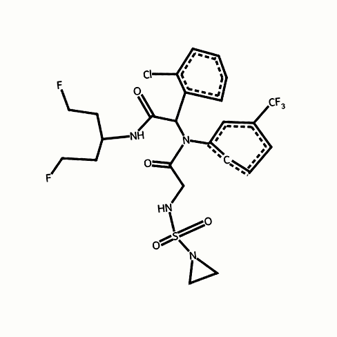 O=C(NC(CCF)CCF)C(c1ccccc1Cl)N(C(=O)CNS(=O)(=O)N1CC1)c1cccc(C(F)(F)F)c1